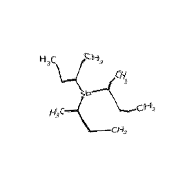 CC[CH](C)[Sb]([CH](C)CC)[CH](C)CC